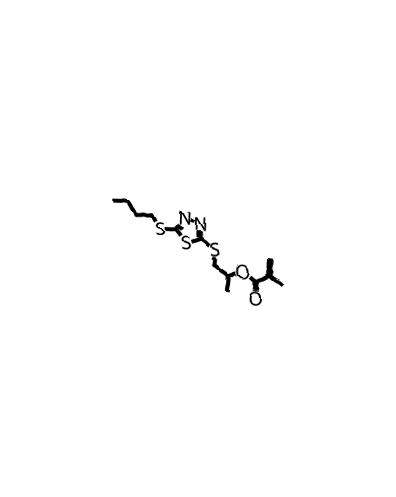 C=C(C)C(=O)OC(C)CSc1nnc(SCCCC)s1